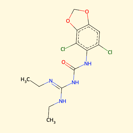 CCN=C(NCC)NC(=O)Nc1c(Cl)cc2c(c1Cl)OCO2